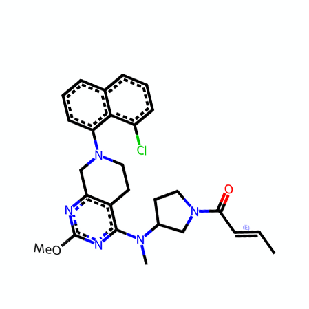 C/C=C/C(=O)N1CCC(N(C)c2nc(OC)nc3c2CCN(c2cccc4cccc(Cl)c24)C3)C1